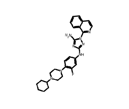 Nc1nc(Nc2ccc(N3CCN(C4CCCCC4)CC3)c(F)c2)nn1-c1nccc2ccccc12